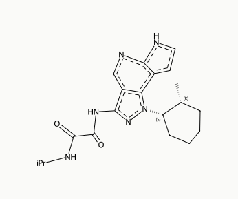 CC(C)NC(=O)C(=O)Nc1nn([C@H]2CCCC[C@H]2C)c2c1cnc1[nH]ccc12